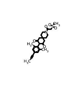 CC#Cc1cc(C)c(C2C(=O)CC3(CCN(C(=O)CS(C)(=O)=O)CC3)CC2=O)c(C)c1